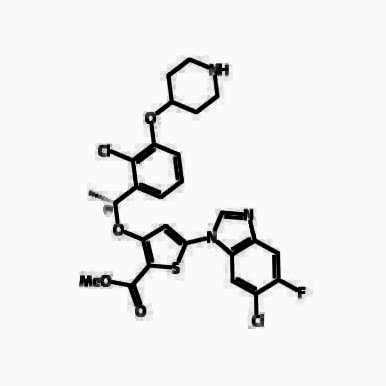 COC(=O)c1sc(-n2cnc3cc(F)c(Cl)cc32)cc1O[C@H](C)c1cccc(OC2CCNCC2)c1Cl